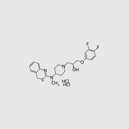 CN(C1=Nc2ccccc2CS1)C1CCN(C[C@H](O)COc2ccc(F)c(F)c2)CC1.Cl.Cl